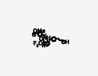 COC(=O)c1ccc([C@H](C)NC(=O)c2c(C(F)(F)F)nn3c2N(Cc2ccc(CCCO)cc2)CC3)cc1